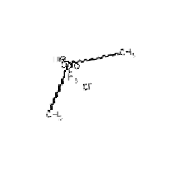 CCCCCCCCCCCCCCCC(=O)C[N+](CC)(CCO)C(=O)CCCCCCCCCCCCCCC.[Cl-]